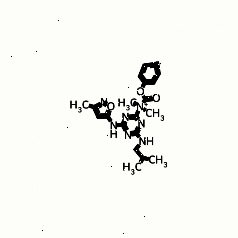 Cc1cc(Nc2nc(NCC(C)C)nc([N+](C)(C)C(=O)Oc3cc[c]cc3)n2)on1